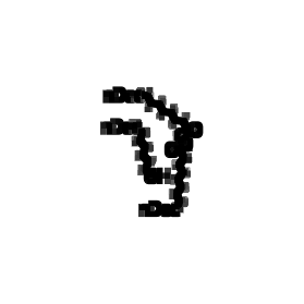 CCCCCCCCCCCCCCCCCC(=O)OOC(=O)CCCCCCCCCCCCCCCCC.CCCCCCCCCCCCCCCCO